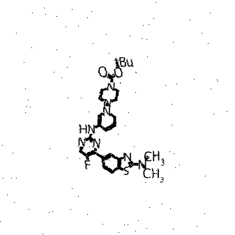 CN(C)c1nc2cc(-c3nc(NC4=CN(N5CCN(C(=O)OC(C)(C)C)CC5)CC=C4)ncc3F)ccc2s1